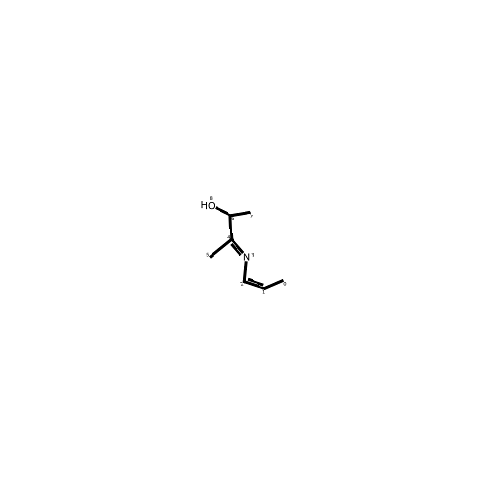 C/C=C\N=C(/C)C(C)O